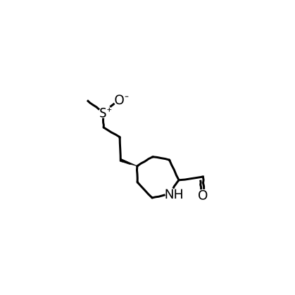 C[S+]([O-])CCC[C@@H]1CCNC(C=O)CC1